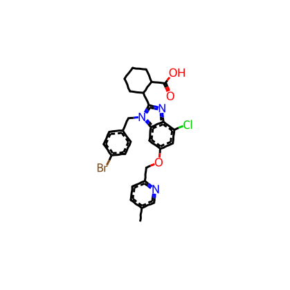 Cc1ccc(COc2cc(Cl)c3nc(C4CCCCC4C(=O)O)n(Cc4ccc(Br)cc4)c3c2)nc1